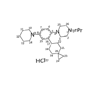 CCCN1CCN(c2ccc(N3CCCCC3)cc2C2CCC3(CC2)CC3)CC1.Cl